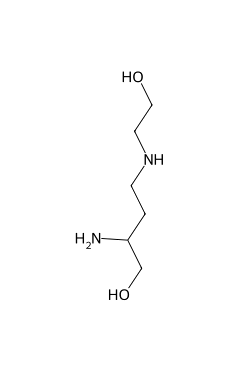 NC(CO)CCNCCO